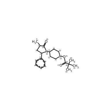 CC1CC(c2ccccc2)N(C2CCN(OC(=O)C(C)(C)C)CC2)C1=O